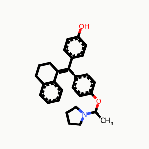 CC(Oc1ccc(C(=C2CCCc3ccccc32)c2ccc(O)cc2)cc1)N1CCCC1